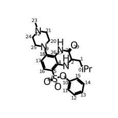 CC(C)CC1Nc2c(S(=O)(=O)Oc3ccccc3)ccc(N3CCN(C)CC3)c2NC1=O